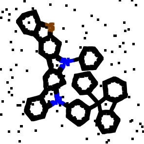 c1ccc(-n2c3cc4sc5ccccc5c4cc3c3cc4c5ccccc5n(-c5cccc(C6(c7ccccc7)c7ccccc7-c7ccccc76)c5)c4cc32)cc1